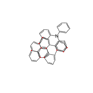 c1ccc(-c2ccccc2-c2c(-c3ccccc3)cccc2-c2ccccc2N(c2ccccc2)c2cccc(-c3cccc4ccccc34)c2)cc1